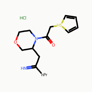 CCCC(=N)CC1COCCN1C(=O)C[SH]1C=CC=C1.Cl